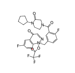 O=C1C=N[N+](Cc2ccc(F)c(C(=O)N3CCN(C4CCCC4)C(=O)C3)c2)(OC(=O)C(F)(F)F)c2ccc(F)cc21